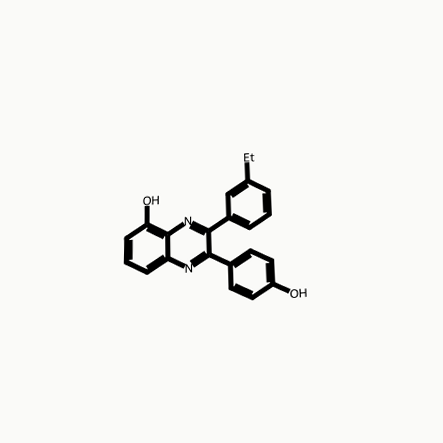 CCc1cccc(-c2nc3c(O)cccc3nc2-c2ccc(O)cc2)c1